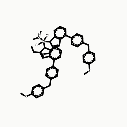 CCC1=Cc2c(-c3ccc(Cc4ccc(SC)cc4)cc3)cccc2[CH]1[Zr]([Cl])([Cl])([CH]1C(CC)=Cc2c(-c3ccc(Cc4ccc(SC)cc4)cc3)cccc21)[SiH](C)C